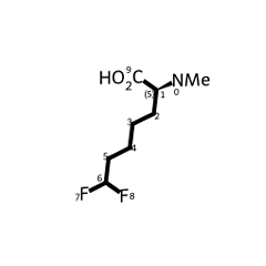 CN[C@@H](CCCCC(F)F)C(=O)O